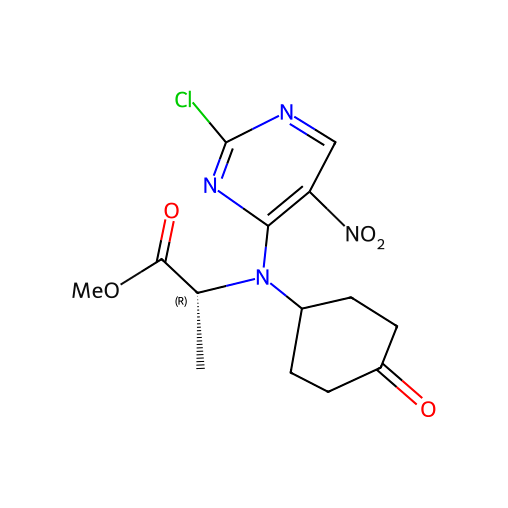 COC(=O)[C@@H](C)N(c1nc(Cl)ncc1[N+](=O)[O-])C1CCC(=O)CC1